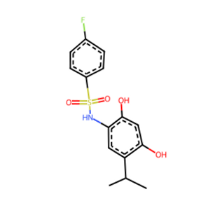 CC(C)c1cc(NS(=O)(=O)c2ccc(F)cc2)c(O)cc1O